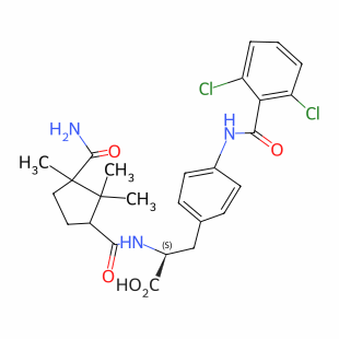 CC1(C(N)=O)CCC(C(=O)N[C@@H](Cc2ccc(NC(=O)c3c(Cl)cccc3Cl)cc2)C(=O)O)C1(C)C